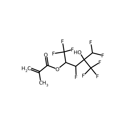 C=C(C)C(=O)OC(C(F)C(O)(C(F)F)C(F)(F)F)C(F)(F)F